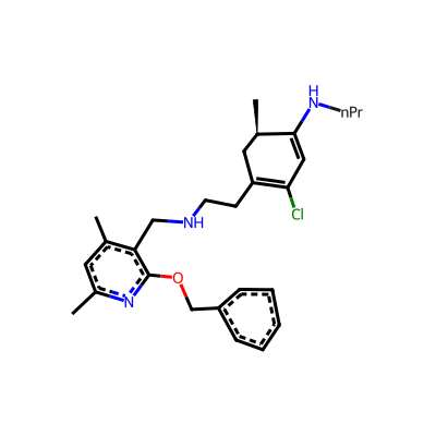 CCCNC1=CC(Cl)=C(CCNCc2c(C)cc(C)nc2OCc2ccccc2)C[C@H]1C